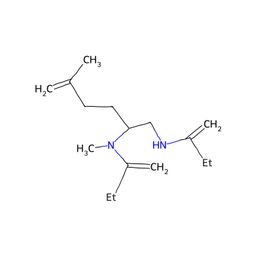 C=C(C)CCC(CNC(=C)CC)N(C)C(=C)CC